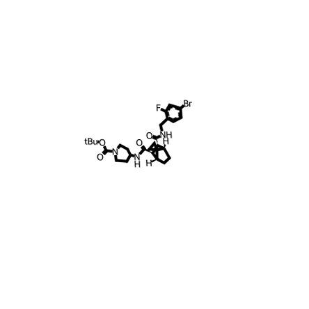 CC(C)(C)OC(=O)N1CCC(NC(=O)[C@H]2[C@H](C(=O)NCc3ccc(Br)cc3F)[C@@H]3CC[C@H]2C32CC2)CC1